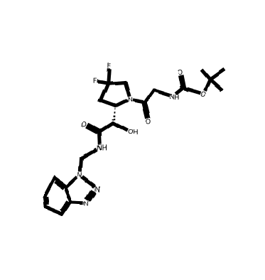 CC(C)(C)OC(=O)NCC(=O)N1CC(F)(F)C[C@H]1C(O)C(=O)NCn1nnc2ccccc21